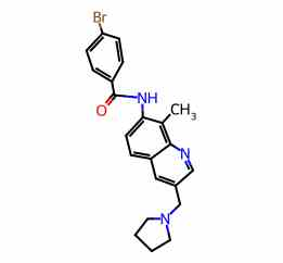 Cc1c(NC(=O)c2ccc(Br)cc2)ccc2cc(CN3CCCC3)cnc12